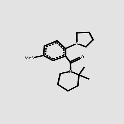 CSc1ccc(N2CCCC2)c(C(=O)N2CCCCC2(C)C)c1